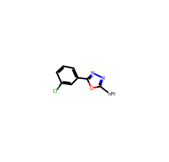 CCCc1nnc(-c2cccc(Cl)c2)o1